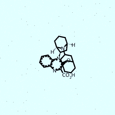 O=C(O)c1nc2ccccc2n([C@@H]2C[C@@H]3CCC[C@H]2N3C2CC3CCCC(C3)C2)c1=O